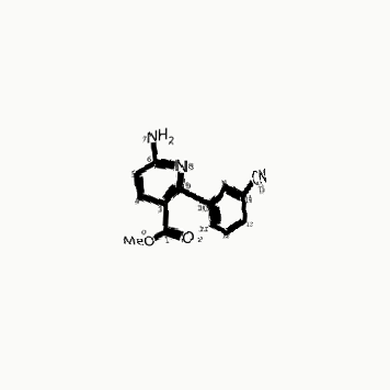 COC(=O)c1ccc(N)nc1-c1cccc(C#N)c1